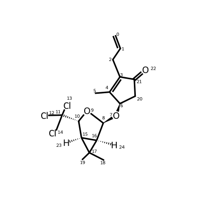 C=CCC1=C(C)[C@H](O[C@@H]2O[C@@H](C(Cl)(Cl)Cl)[C@H]3[C@@H]2C3(C)C)CC1=O